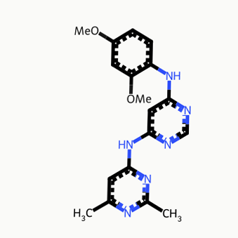 COc1ccc(Nc2cc(Nc3cc(C)nc(C)n3)ncn2)c(OC)c1